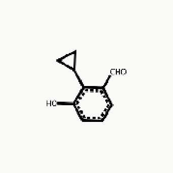 O=Cc1cccc(O)c1C1CC1